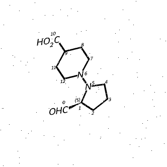 O=C[C@@H]1CCCN1N1CCC(C(=O)O)CC1